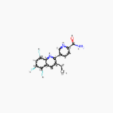 NC(=O)c1ccc(-c2nc3c(F)cc(F)c(F)c3cc2[CH]C(F)(F)F)cn1